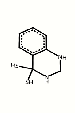 SC1(S)NCNc2ccccc21